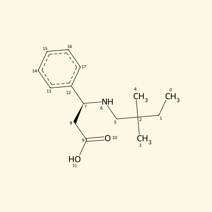 CCC(C)(C)CN[C@@H](CC(=O)O)c1ccccc1